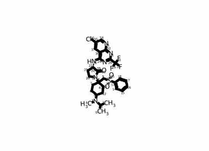 CC(C)N(C)C1CCC(CS(=O)(=O)c2ccccc2)(N2CC[C@H](Nc3nc(C(F)(F)F)nc4ncc(Cl)cc34)C2=O)CC1